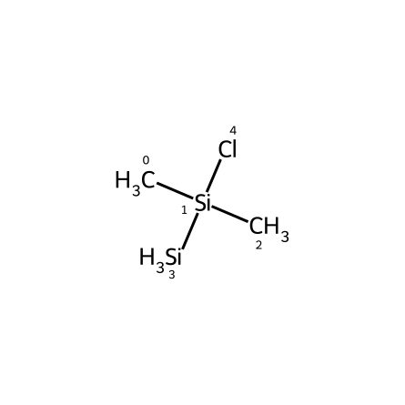 C[Si](C)([SiH3])Cl